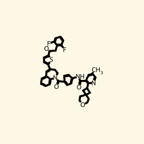 Cc1cnc(C2CC3(CCOCC3)C2)c(C(=O)Nc2ccc(C(=O)N3CCC(c4ccc(C(=O)Cc5c(F)cccc5F)s4)=Cc4ccccc43)cc2)c1